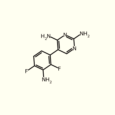 Nc1ncc(-c2ccc(F)c(N)c2F)c(N)n1